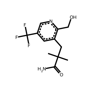 CC(C)(Cc1cc(C(F)(F)F)cnc1CO)C(N)=O